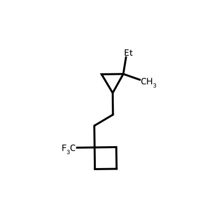 CCC1(C)CC1CCC1(C(F)(F)F)CCC1